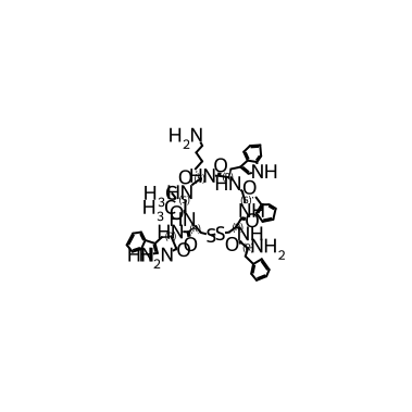 CC(C)[C@@H]1NC(=O)[C@H](CCCCN)NC(=O)[C@@H](Cc2c[nH]c3ccccc23)NC(=O)[C@H](Cc2ccccc2)NC(=O)[C@@H](NC(=O)[C@H](N)Cc2ccccc2)CSSC[C@@H](C(=O)N[C@H](Cc2c[nH]c3ccccc23)C(N)=O)NC1=O